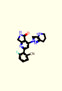 N#Cc1cccc(F)c1-c1cc(-n2cc3c(n2)CCCN3)c2c(n1)CNC2=O